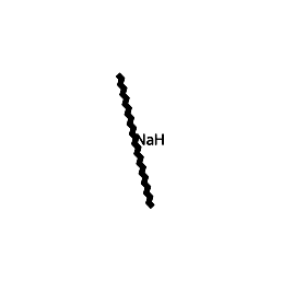 CCCCCCCCCCCCCCCCCCCCCCCCCCCC.[NaH]